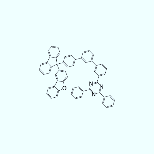 c1ccc(-c2nc(-c3ccccc3)nc(-c3cccc(-c4cccc(-c5ccc(C6(c7ccc8oc9ccccc9c8c7)c7ccccc7-c7ccccc76)cc5)c4)c3)n2)cc1